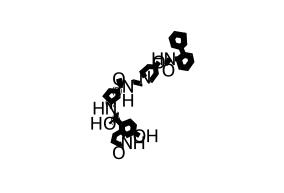 O=C1CCc2c([C@@H](O)CN[C@H]3CC[C@@H](C(=O)NCCN4CCC(OC(=O)Nc5ccccc5-c5ccccc5)CC4)C3)ccc(O)c2N1